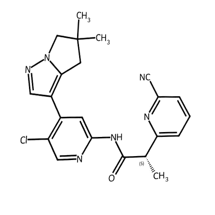 C[C@H](C(=O)Nc1cc(-c2cnn3c2CC(C)(C)C3)c(Cl)cn1)c1cccc(C#N)n1